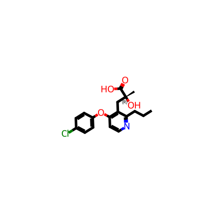 CCCc1nccc(Oc2ccc(Cl)cc2)c1C[C@@](C)(O)C(=O)O